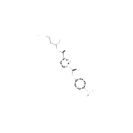 CCCC(F)OC(=O)c1ccn(C(=O)Oc2ccc([N+](=O)[O-])cc2)n1